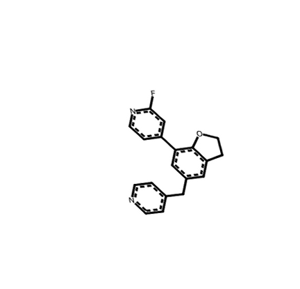 Fc1cc(-c2cc(Cc3ccncc3)cc3c2OCC3)ccn1